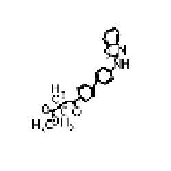 COC(=O)C(C)(C)CC(=O)c1ccc(-c2ccc(Nc3nc4ccccc4s3)cc2)cc1